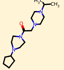 CC(C)N1CCN(CC(=O)N2CCN(C3CCCC3)CC2)CC1